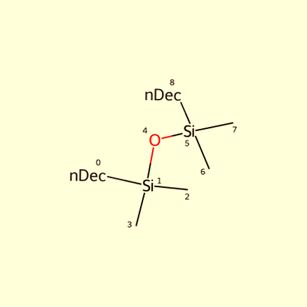 CCCCCCCCCC[Si](C)(C)O[Si](C)(C)CCCCCCCCCC